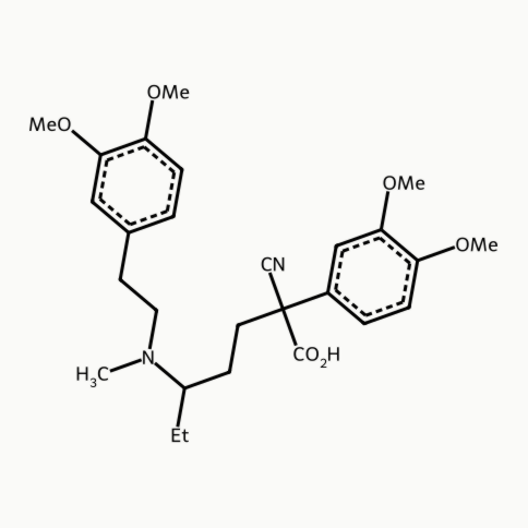 CCC(CCC(C#N)(C(=O)O)c1ccc(OC)c(OC)c1)N(C)CCc1ccc(OC)c(OC)c1